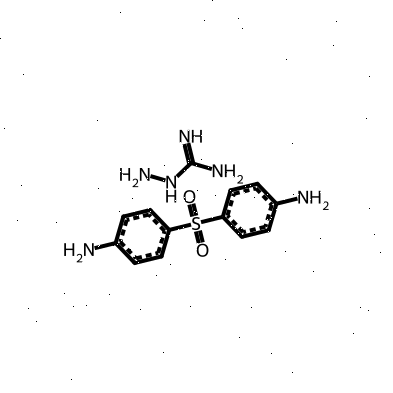 N=C(N)NN.Nc1ccc(S(=O)(=O)c2ccc(N)cc2)cc1